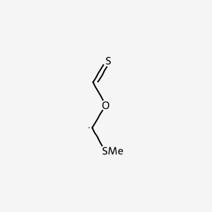 CS[CH]OC=S